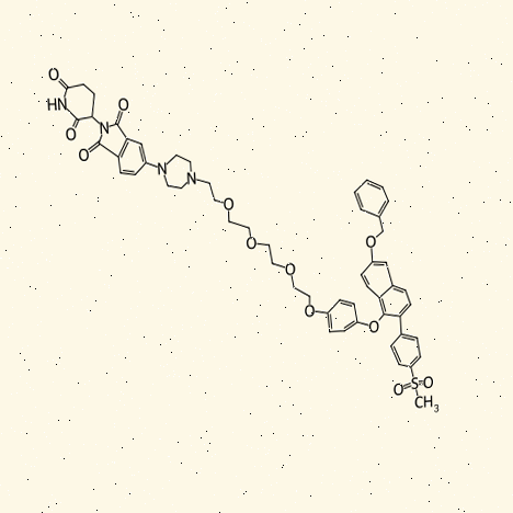 CS(=O)(=O)c1ccc(-c2ccc3cc(OCc4ccccc4)ccc3c2Oc2ccc(OCCOCCOCCOCCN3CCN(c4ccc5c(c4)C(=O)N(C4CCC(=O)NC4=O)C5=O)CC3)cc2)cc1